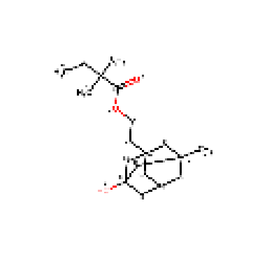 CCC(C)(C)C(=O)OCCC12CC3CC(C)(CC(O)(C3)C1)C2